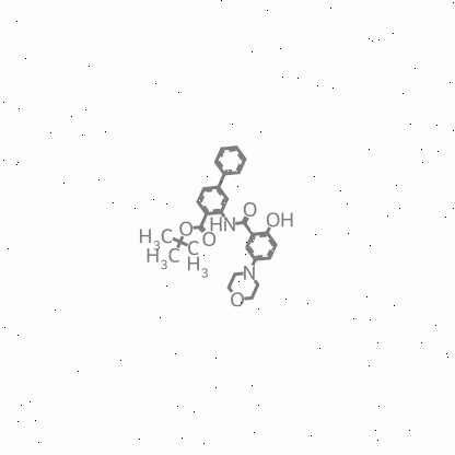 CC(C)(C)OC(=O)c1ccc(-c2ccccc2)cc1NC(=O)c1cc(N2CCOCC2)ccc1O